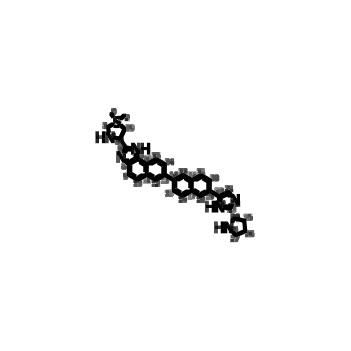 CS1(C)CN[C@H](c2nc3ccc4cc(-c5ccc6cc(-c7cnc([C@@H]8CCCN8)[nH]7)ccc6c5)ccc4c3[nH]2)C1